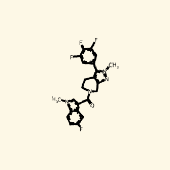 Cn1nc2c(c1-c1cc(F)c(F)c(F)c1)CCN(C(=O)c1cn(C)c3ccc(F)cc13)C2